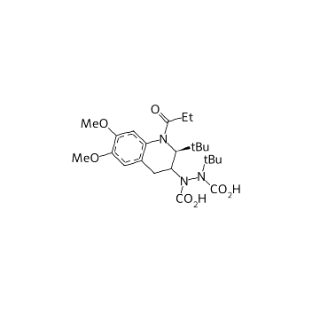 CCC(=O)N1c2cc(OC)c(OC)cc2CC(N(C(=O)O)N(C(=O)O)C(C)(C)C)[C@@H]1C(C)(C)C